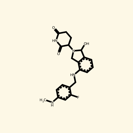 CNc1ccc(CNc2cccc3c2CN(C2CCC(=O)NC2=O)C3O)c(F)c1